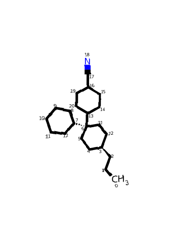 CCC[C@H]1CC[C@@](C2CCCCC2)(C2CCC(C#N)CC2)CC1